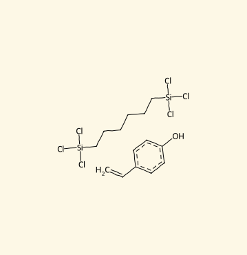 C=Cc1ccc(O)cc1.Cl[Si](Cl)(Cl)CCCCCC[Si](Cl)(Cl)Cl